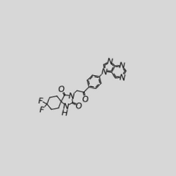 O=C(CN1C(=O)NC2(CCC(F)(F)CC2)C1=O)c1ccc(-n2cnc3ncncc32)cc1